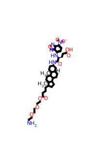 C[C@]12CCC3C(CC[C@@H]4C[C@H](NC(=O)[C@H](CCC(=O)O)Nc5ccc([N+](=O)[O-])c6nonc56)CC[C@]34C)C1CCC2CCCC(=O)OCCOCCOCCN